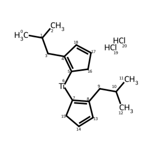 CC(C)CC1=[C]([Ti][C]2=C(CC(C)C)C=CC2)CC=C1.Cl.Cl